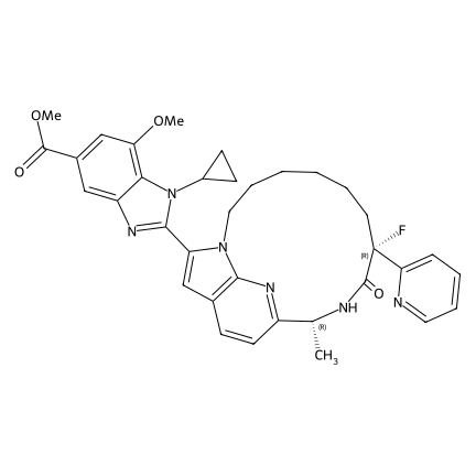 COC(=O)c1cc(OC)c2c(c1)nc(-c1cc3ccc4nc3n1CCCCCC[C@@](F)(c1ccccn1)C(=O)N[C@@H]4C)n2C1CC1